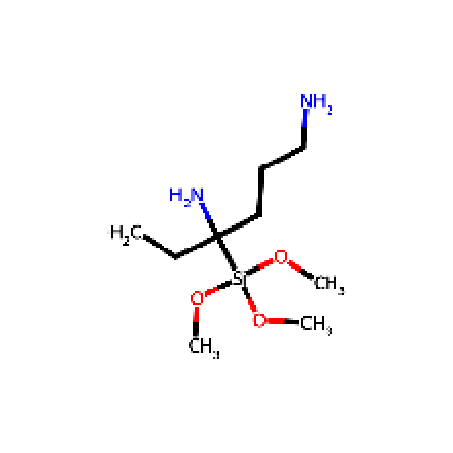 [CH2]CC(N)(CCCN)[Si](OC)(OC)OC